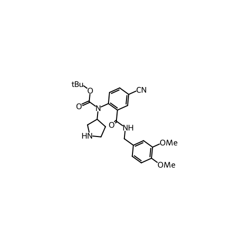 COc1ccc(CNC(=O)c2cc(C#N)ccc2N(C(=O)OC(C)(C)C)C2CCNC2)cc1OC